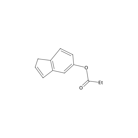 CCC(=O)Oc1ccc2c(c1)C=CC2